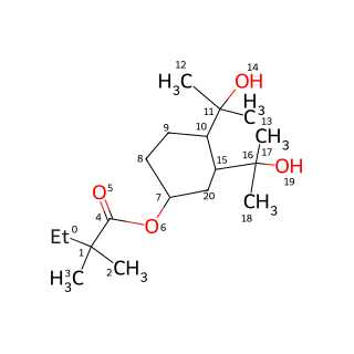 CCC(C)(C)C(=O)OC1CCC(C(C)(C)O)C(C(C)(C)O)C1